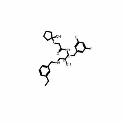 CCc1cccc(CNC[C@H](O)[C@H](Cc2cc(F)cc(F)c2)NC(=O)CSC2(O)CCCC2)c1